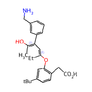 CC/C(=C\C(=C(/C)O)c1cccc(CN)c1)Oc1cc(C(C)(C)C)ccc1CC(=O)O